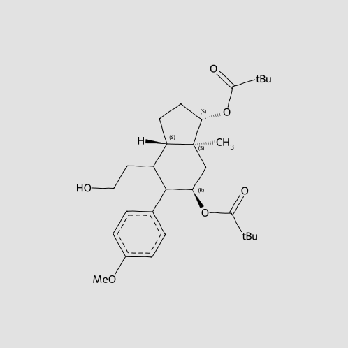 COc1ccc(C2C(CCO)[C@@H]3CC[C@H](OC(=O)C(C)(C)C)[C@@]3(C)C[C@H]2OC(=O)C(C)(C)C)cc1